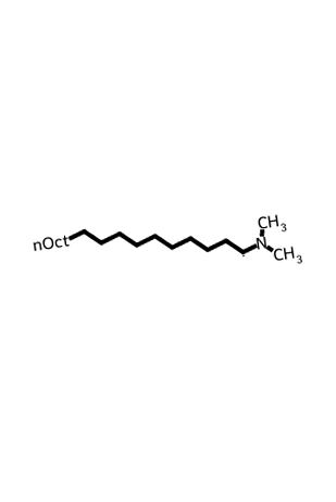 [CH2]CCCCCCCCCCCCCCCC[CH]N(C)C